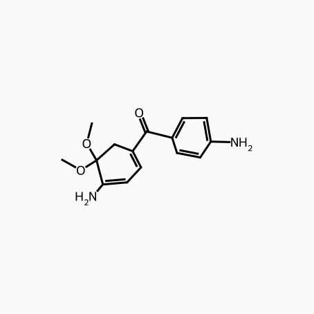 COC1(OC)CC(C(=O)c2ccc(N)cc2)=CC=C1N